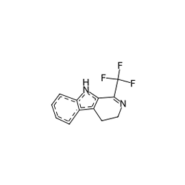 FC(F)(F)C1=NCCc2c1[nH]c1ccccc21